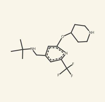 CC(C)(C)NCc1cc(OC2CCNCC2)nc(C(F)(F)F)c1